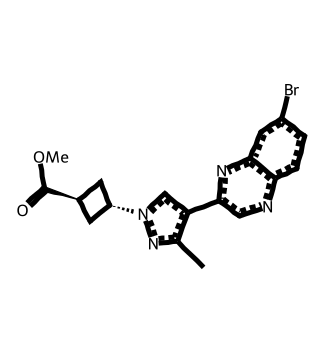 COC(=O)[C@H]1C[C@H](n2cc(-c3cnc4ccc(Br)cc4n3)c(C)n2)C1